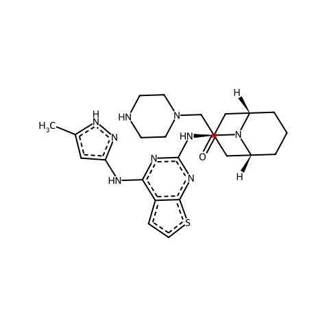 Cc1cc(Nc2nc(N[C@@H]3C[C@H]4CCC[C@@H](C3)N4C(=O)CN3CCNCC3)nc3sccc23)n[nH]1